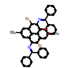 CC(C)(C)c1cc2c(Br)c(N=C(c3ccccc3)c3ccccc3)c3cc(C(C)(C)C)cc4c(Br)c(N=C(c5ccccc5)c5ccccc5)c(c1)c2c43